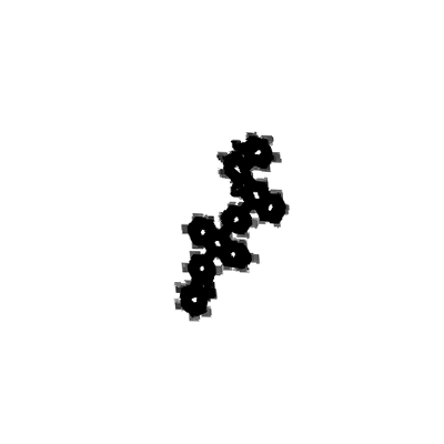 c1ccc2c(-c3ccc(-c4c5ccccc5c(-c5ccc6c(c5)sc5ccccc56)c5ccccc45)cc3)c3oc4ccc5sc6ccccc6c5c4c3cc2c1